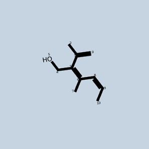 C=C(C)/C(CO)=C(C)\C=C/C